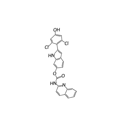 O=C(Nc1ccc2ccccc2n1)Oc1ccc2cc(-c3c(Cl)cc(O)cc3Cl)[nH]c2c1